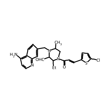 CCC1C(C=O)N(Cc2ccc3c(N)ccnc3c2)C(C)CN1C(=O)C=Cc1ccc(Cl)s1